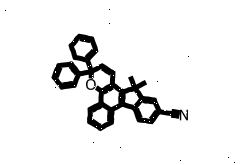 CC1(C)c2cc(C#N)ccc2-c2c1c1c(c3ccccc23)OC(C2=CC=CCC2)(c2ccccc2)C=C1